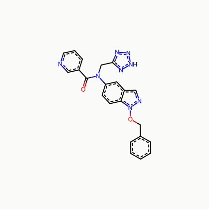 O=C(c1cccnc1)N(Cc1nn[nH]n1)c1ccc2c(cnn2OCc2ccccc2)c1